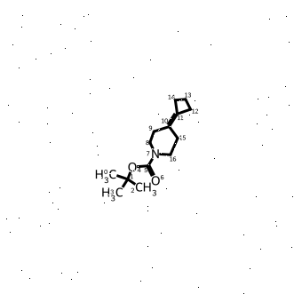 CC(C)(C)OC(=O)N1CCC(=C2CCC2)CC1